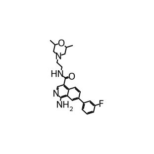 CC1CN(CCNC(=O)c2cnc(N)c3cc(-c4cccc(F)c4)ccc23)CC(C)O1